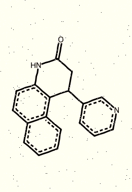 O=C1CC(c2cccnc2)c2c(ccc3ccccc23)N1